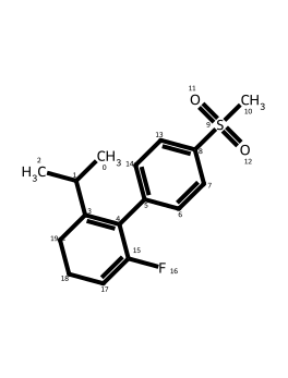 CC(C)C1=C(c2ccc(S(C)(=O)=O)cc2)C(F)=CC[CH]1